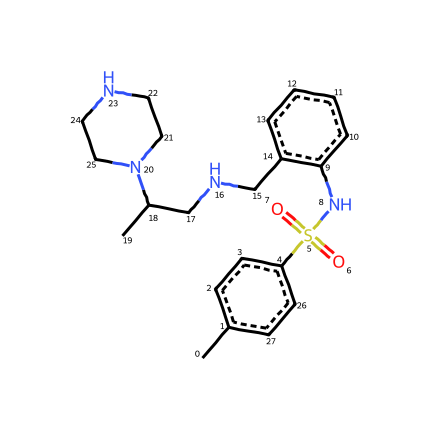 Cc1ccc(S(=O)(=O)Nc2ccccc2CNCC(C)N2CCNCC2)cc1